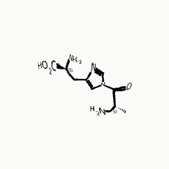 C[C@H](N)C(=O)n1cnc(C[C@H](N)C(=O)O)c1